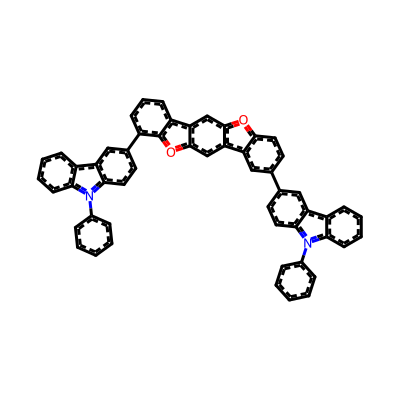 c1ccc(-n2c3ccccc3c3cc(-c4ccc5oc6cc7c(cc6c5c4)oc4c(-c5ccc6c(c5)c5ccccc5n6-c5ccccc5)cccc47)ccc32)cc1